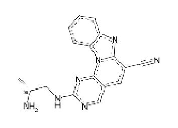 C[C@@H](N)CNc1ncc2cc(C#N)c3nc4ccccc4n3c2n1